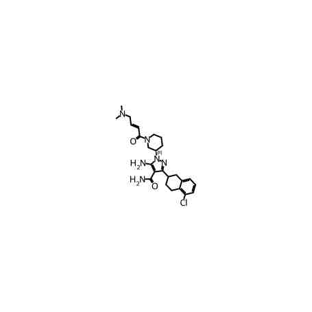 CN(C)CC=CC(=O)N1CCC[C@@H](n2nc(C3CCc4c(Cl)cccc4C3)c(C(N)=O)c2N)C1